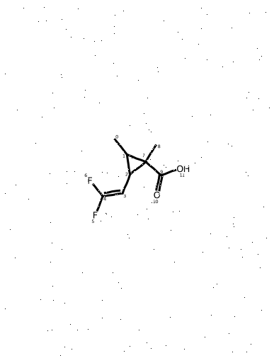 CC1C(C=C(F)F)C1(C)C(=O)O